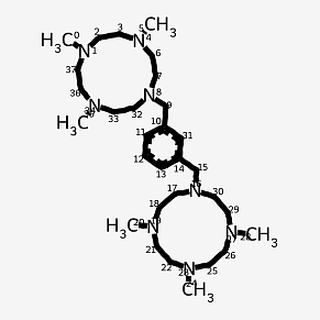 CN1CCN(C)CCN(Cc2cccc(CN3CCN(C)CCN(C)CCN(C)CC3)c2)CCN(C)CC1